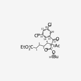 CCOC(=O)CCCCC(C(C)=O)(C(=O)OC(C)(C)C)C(=O)c1cc(Cl)cc(Cl)c1